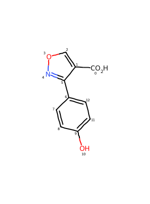 O=C(O)c1conc1-c1ccc(O)cc1